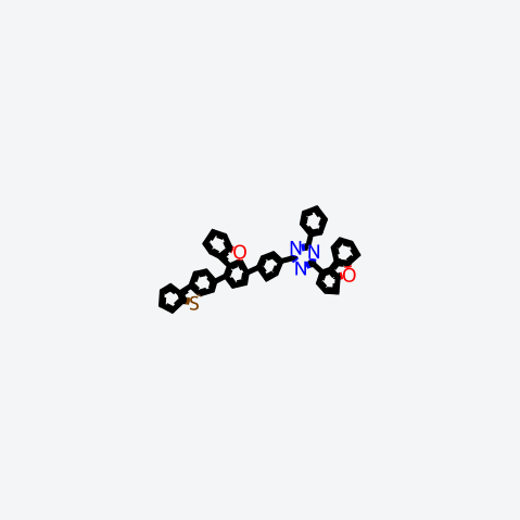 c1ccc(-c2nc(-c3ccc(-c4ccc(-c5ccc6c(c5)sc5ccccc56)c5c4oc4ccccc45)cc3)nc(-c3cccc4oc5ccccc5c34)n2)cc1